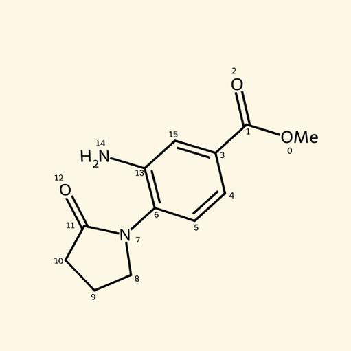 COC(=O)c1ccc(N2CCCC2=O)c(N)c1